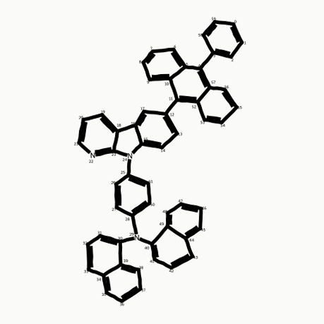 c1ccc(-c2c3ccccc3c(-c3ccc4c(c3)c3cccnc3n4-c3ccc(N(c4cccc5ccccc45)c4cccc5ccccc45)cc3)c3ccccc23)cc1